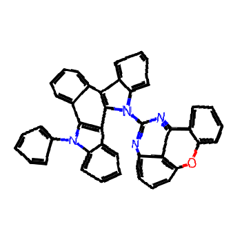 c1ccc(-n2c3ccccc3c3c2c2ccccc2c2c4ccccc4n(-c4nc5c6c(cccc6n4)Oc4ccccc4-5)c23)cc1